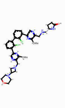 COc1nc(-c2cccc(-c3cccc(-c4cnc(CN5CC(N6CCOCC6)C5)c(OC)n4)c3Cl)c2Cl)cnc1CNC[C@@H]1CCC(=O)N1